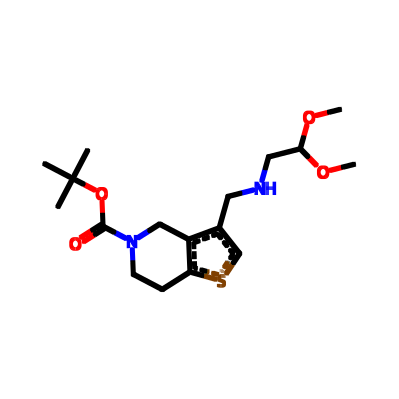 COC(CNCc1csc2c1CN(C(=O)OC(C)(C)C)CC2)OC